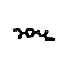 CCCC(=O)c1ccc(OCC(=O)OC)cc1